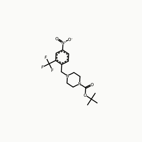 CC(C)(C)OC(=O)N1CCN(Cc2ccc([N+](=O)[O-])cc2C(F)(F)F)CC1